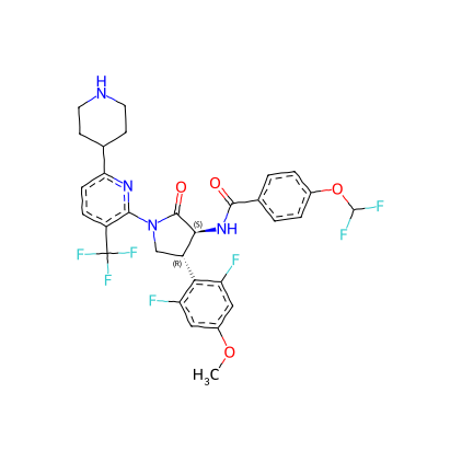 COc1cc(F)c([C@@H]2CN(c3nc(C4CCNCC4)ccc3C(F)(F)F)C(=O)[C@H]2NC(=O)c2ccc(OC(F)F)cc2)c(F)c1